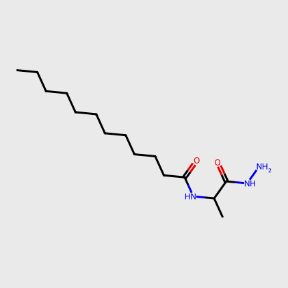 CCCCCCCCCCCC(=O)NC(C)C(=O)NN